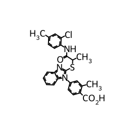 Cc1ccc(NC(=O)C(C)Sc2nc3ccccc3n2-c2ccc(C(=O)O)c(C)c2)c(Cl)c1